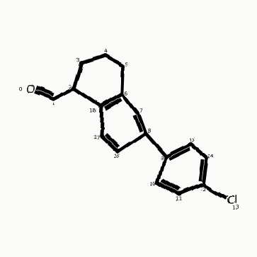 O=CC1CCCc2cc(-c3ccc(Cl)cc3)ccc21